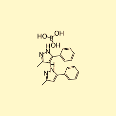 Cc1cc(-c2ccccc2)[nH]n1.Cc1cc(-c2ccccc2)[nH]n1.OB(O)O